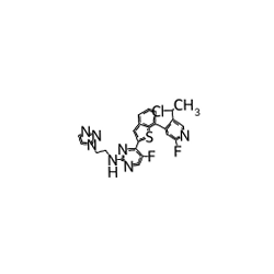 CC(Cl)c1cnc(F)cc1-c1cccc2cc(-c3nc(NCCn4ccnn4)ncc3F)sc12